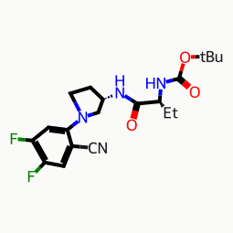 CC[C@H](NC(=O)OC(C)(C)C)C(=O)N[C@H]1CCN(c2cc(F)c(F)cc2C#N)C1